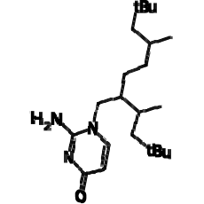 CC(CCC(Cn1ccc(=O)nc1N)C(C)CC(C)(C)C)CC(C)(C)C